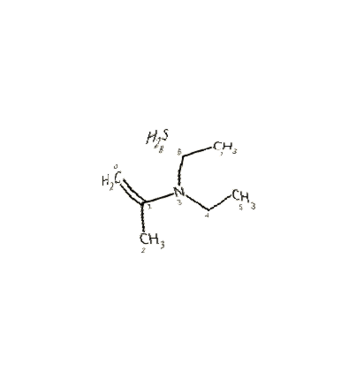 C=C(C)N(CC)CC.S